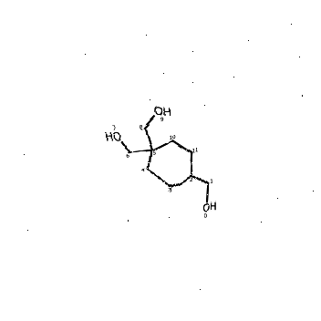 OCC1CCC(CO)(CO)CC1